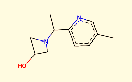 Cc1ccc(C(C)N2CC(O)C2)nc1